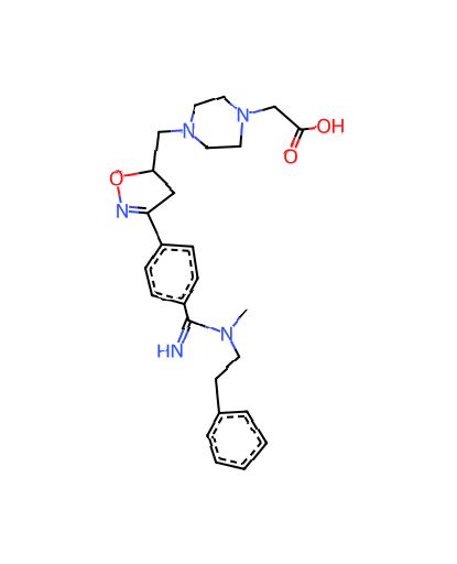 CN(CCc1ccccc1)C(=N)c1ccc(C2=NOC(CN3CCN(CC(=O)O)CC3)C2)cc1